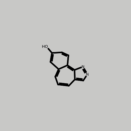 Oc1ccc2c3nncc-3cccc2c1